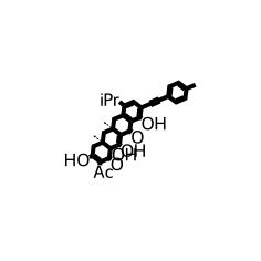 CC(=O)C1=C(O)C[C@@]2(C)C[C@@]3(C)Cc4c(C(C)C)cc(C#Cc5ccc(C)cc5)c(O)c4C(=O)C3=C(O)[C@@]2(O)C1=O